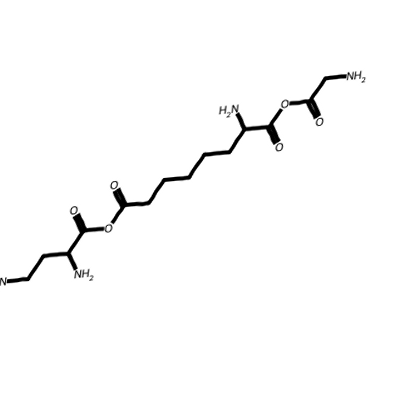 NCCC(N)C(=O)OC(=O)CCCCCC(N)C(=O)OC(=O)CN